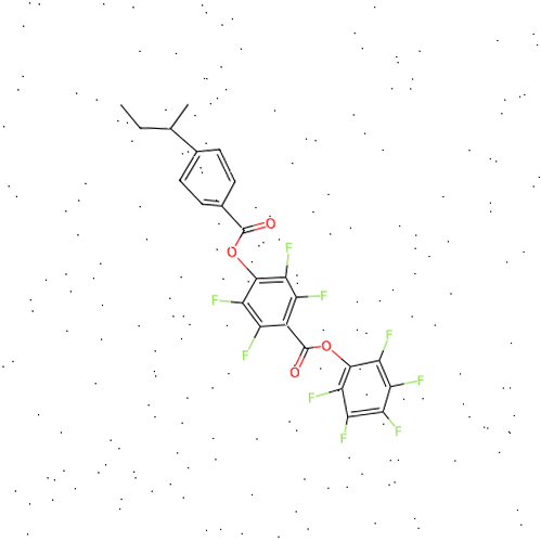 CCC(C)c1ccc(C(=O)Oc2c(F)c(F)c(C(=O)Oc3c(F)c(F)c(F)c(F)c3F)c(F)c2F)cc1